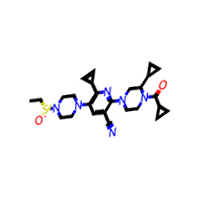 CC[S+]([O-])N1CCN(c2cc(C#N)c(N3CCN(C(=O)C4CC4)C(C4CC4)C3)nc2C2C=C2)CC1